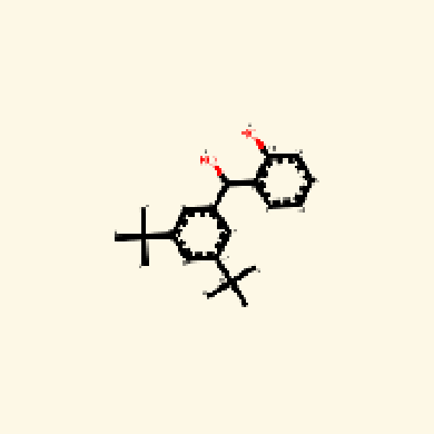 CC(C)(C)c1cc(C(O)c2ccccc2O)cc(C(C)(C)C)c1